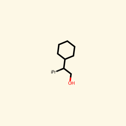 CC(C)C(CO)C1CCCCC1